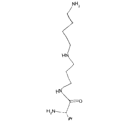 CC(C)C(N)C(=O)NCCCNCCCCN